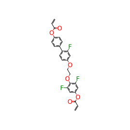 C=CC(=O)Oc1ccc(-c2ccc(OCCOc3c(F)cc(OC(=O)C=C)cc3F)cc2F)cc1